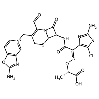 C[C@H](O/N=C(\C(=O)NC1C(=O)N2C(C=O)=C(C[n+]3ccc4oc(N)nc4c3)CSC12)c1nc(N)sc1Cl)C(=O)O